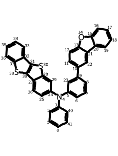 c1ccc(N(c2cccc(-c3ccc4oc5ccccc5c4c3)c2)c2ccc3c(c2)sc2c4ccccc4sc32)cc1